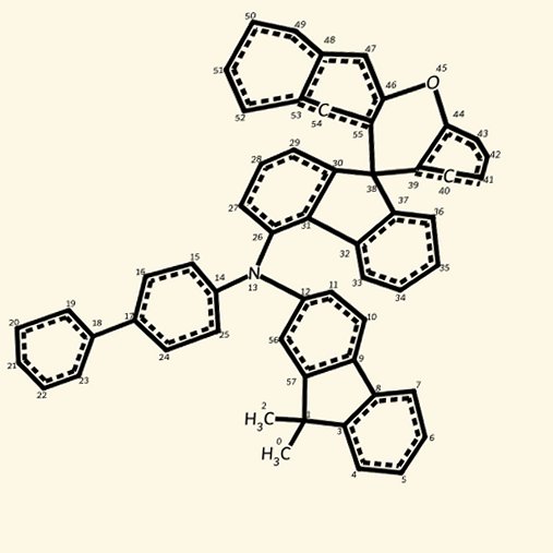 CC1(C)c2ccccc2-c2ccc(N(c3ccc(-c4ccccc4)cc3)c3cccc4c3-c3ccccc3C43c4ccccc4Oc4cc5ccccc5cc43)cc21